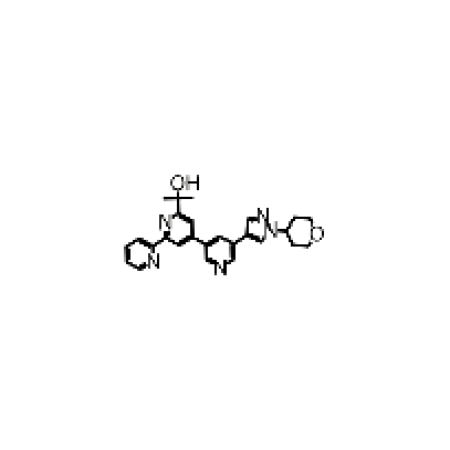 CC(C)(O)c1cc(-c2cncc(-c3cnn(C4CCOCC4)c3)c2)cc(-c2ccccn2)n1